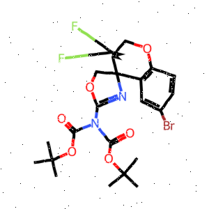 CC(C)(C)OC(=O)N(C(=O)OC(C)(C)C)C1=NC2(CO1)c1cc(Br)ccc1OCC21CC(F)(F)C1